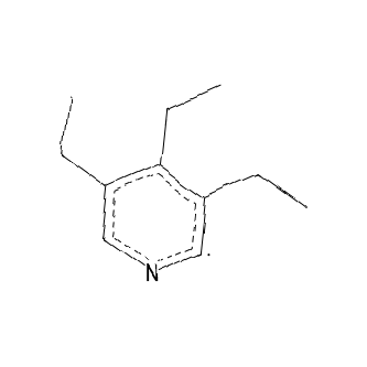 CCc1[c]ncc(CC)c1CC